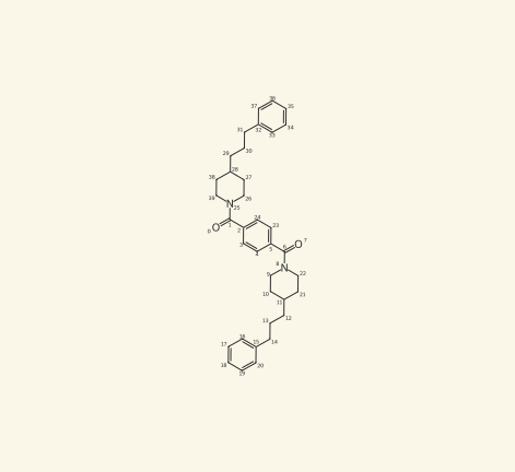 O=C(c1ccc(C(=O)N2CCC(CCCc3ccccc3)CC2)cc1)N1CCC(CCCc2ccccc2)CC1